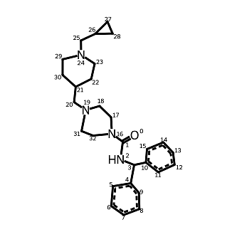 O=C(NC(c1ccccc1)c1ccccc1)N1CCN(CC2CCN(CC3CC3)CC2)CC1